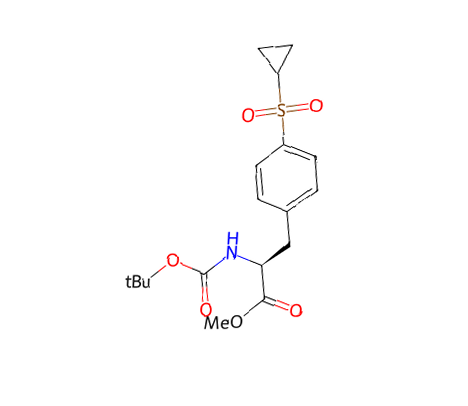 COC(=O)[C@H](Cc1ccc(S(=O)(=O)C2CC2)cc1)NC(=O)OC(C)(C)C